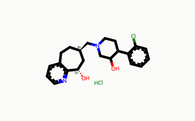 Cl.OC1CN(C[C@@H]2CCc3cccnc3[C@@H](O)C2)CCC1c1ccccc1Cl